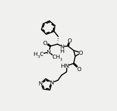 CN(C)C(=O)[C@H](Cc1ccccc1)NC(=O)C1OC1C(=O)NCCCn1ccnc1